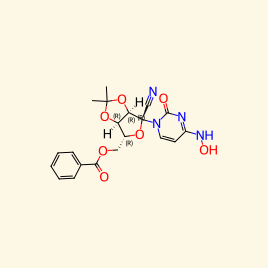 CC1(C)O[C@H]2[C@@H](O1)[C@](C#N)(n1ccc(NO)nc1=O)O[C@@H]2COC(=O)c1ccccc1